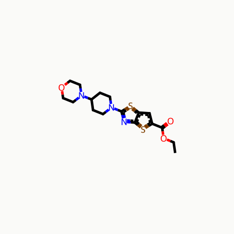 CCOC(=O)c1cc2sc(N3CCC(N4CCOCC4)CC3)nc2s1